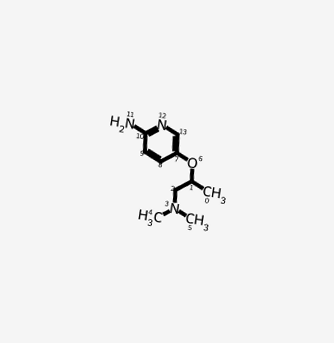 CC(CN(C)C)Oc1ccc(N)nc1